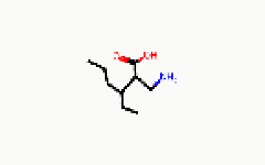 CCCC(CC)C(CN)C(=O)O